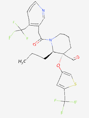 CCC[C@H]1N(C(=O)c2cnccc2C(F)(F)F)CCC[C@]1(C=O)Oc1csc(C(F)(F)F)c1